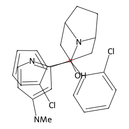 CNc1ccnc(C2(O)CC3CCC(C2)N3C(c2ccccc2Cl)c2ccccc2Cl)c1